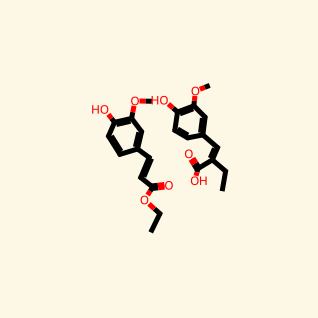 CCC(=Cc1ccc(O)c(OC)c1)C(=O)O.CCOC(=O)/C=C/c1ccc(O)c(OC)c1